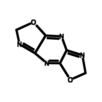 C1N=c2nc3c(nc2O1)=NCO3